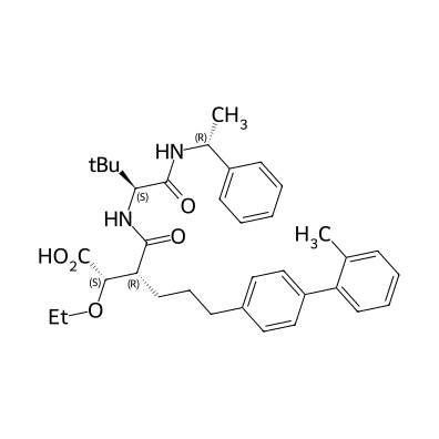 CCO[C@H](C(=O)O)[C@@H](CCCc1ccc(-c2ccccc2C)cc1)C(=O)N[C@H](C(=O)N[C@H](C)c1ccccc1)C(C)(C)C